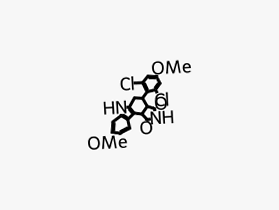 COc1cc(Cl)c(C2Cc3[nH]c4ccc(OC)cc4c3C3C(=O)NC(=O)C23)c(Cl)c1